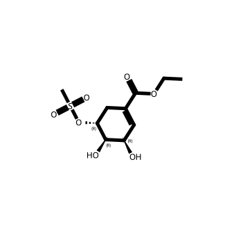 CCOC(=O)C1=C[C@@H](O)[C@@H](O)[C@H](OS(C)(=O)=O)C1